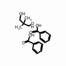 CC(C)(CO)CO.O=C(O)c1ccccc1.O=C(O)c1ccccc1